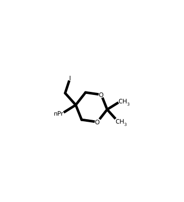 CCCC1(CI)COC(C)(C)OC1